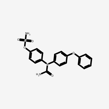 NC(=O)N(c1ccc(Oc2ccccc2)cc1)c1ccc(OS(N)(=O)=O)cc1